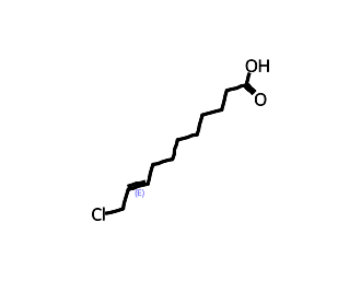 O=C(O)CCCCCCC/C=C/CCl